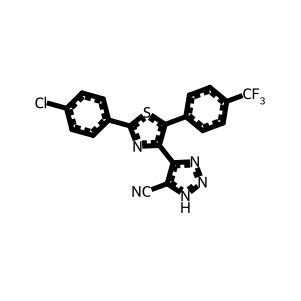 N#Cc1[nH]nnc1-c1nc(-c2ccc(Cl)cc2)sc1-c1ccc(C(F)(F)F)cc1